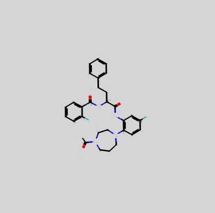 CC(=O)N1CCCN(c2ccc(F)cc2NC(=O)C(CCc2ccccc2)NC(=O)c2ccccc2F)CC1